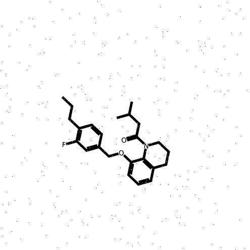 CCCc1ccc(COc2cccc3c2N(C(=O)CC(C)C)CCC3)cc1F